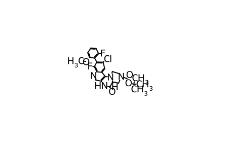 COc1cccc(F)c1-c1c(Cl)cc2c3c(cnc2c1F)NC(=O)[C@H]1CN(C(=O)OC(C)(C)C)CCN31